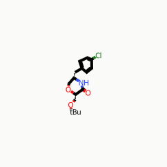 CC(C)(C)OC[C@@H]1OC[C@H](Cc2ccc(Cl)cc2)NC1=O